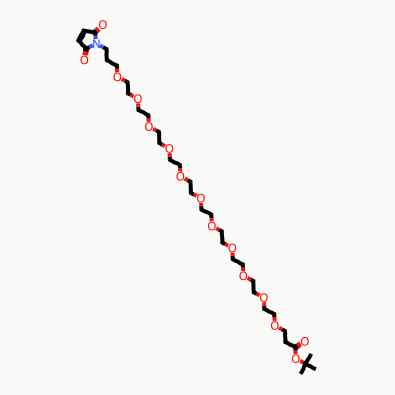 CC(C)(C)OC(=O)CCOCCOCCOCCOCCOCCOCCOCCOCCOCCOCCOCCCN1C(=O)C=CC1=O